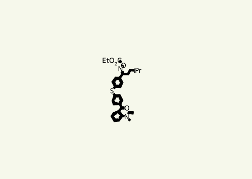 C=CN(C)c1ccccc1C(=O)c1ccc(Sc2ccc(C(CCC(C)C)=NOC(=O)OCC)cc2)cc1